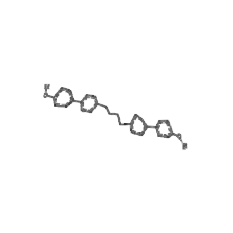 CCOc1ccc(-c2ccc(CCCCc3ccc(-c4ccc(OCC)cc4)cc3)cc2)cc1